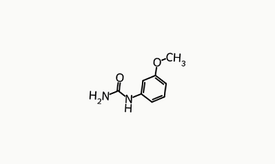 COc1cccc(NC(N)=O)c1